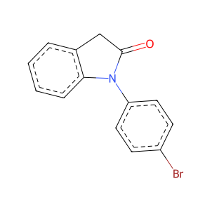 O=C1Cc2ccccc2N1c1ccc(Br)cc1